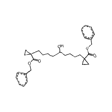 O=C(OCc1ccccc1)C1(CCCCC(O)CCCCC2(C(=O)OCc3ccccc3)CC2)CC1